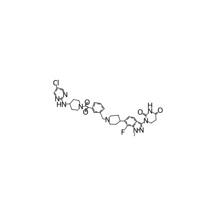 Cn1nc(N2CCC(=O)NC2=O)c2ccc(C3CCN(Cc4cccc(S(=O)(=O)N5CCC(Nc6ncc(Cl)cn6)CC5)c4)CC3)c(F)c21